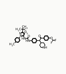 Cc1ccc(-n2nc(C(C)(C)C)cc2NC(=O)Nc2ccc(C(C(=O)c3ccc(OC(F)F)cc3)C3CCNCC3)cc2)cc1